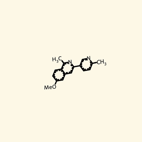 COc1ccc2c(C)nc(-c3ccc(C)nc3)cc2c1